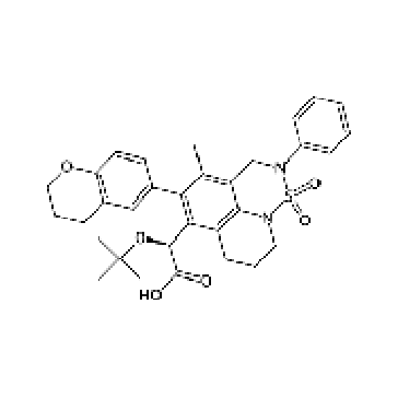 Cc1c2c3c(c([C@H](OC(C)(C)C)C(=O)O)c1-c1ccc4c(c1)CCCO4)CCCN3S(=O)(=O)N(c1ccccc1)C2